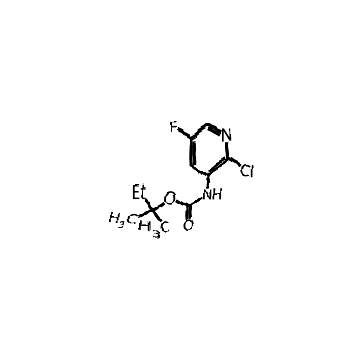 CCC(C)(C)OC(=O)Nc1cc(F)cnc1Cl